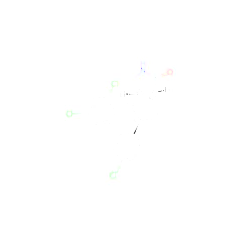 O=C1NC[C@H]2[C@@H](c3ccc(Cl)cc3Cl)[C@H](c3ccc(Cl)cc3)CC[C@@H]12